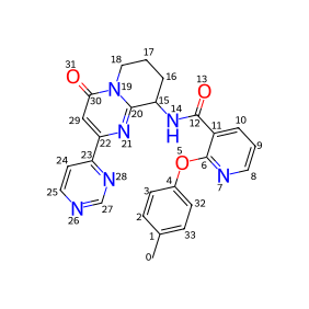 Cc1ccc(Oc2ncccc2C(=O)NC2CCCn3c2nc(-c2ccncn2)cc3=O)cc1